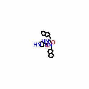 O=C(N[C@H](Cc1ccc2ccccc2c1)C(=O)NCc1ccc2ccccc2c1)C1CCNCC1